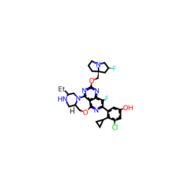 CCC1CN2c3nc(OC[C@@]45CCCN4C[C@@H](F)C5)nc4c(F)c(-c5cc(O)cc(Cl)c5C5CC5)nc(c34)OC[C@H]2CN1